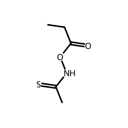 CCC(=O)ONC(C)=S